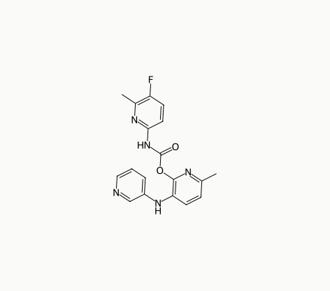 Cc1ccc(Nc2cccnc2)c(OC(=O)Nc2ccc(F)c(C)n2)n1